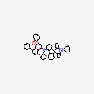 c1ccc(-c2ccc(-c3ccccc3N(c3ccc4oc5ccccc5c4c3)c3cccc4c3-c3ccccc3C43c4ccccc4N(c4ccccc4)c4ccccc43)cc2)cc1